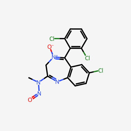 CN(N=O)C1=Nc2ccc(Cl)cc2C(c2c(Cl)cccc2Cl)=[N+]([O-])C1